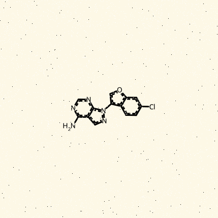 Nc1ncnc2c1cnn2-c1coc2cc(Cl)ccc12